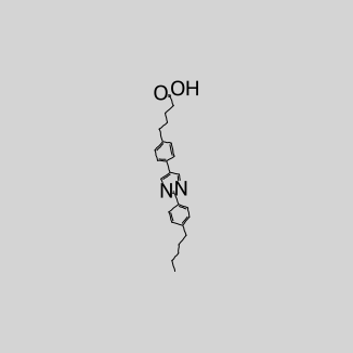 CCCCCc1ccc(-c2ncc(-c3ccc(CCCCC(=O)O)cc3)cn2)cc1